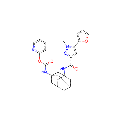 Cn1nc(C(=O)NC23CC4CC(CC(NC(=O)Oc5ccccn5)(C4)C2)C3)cc1-c1ccco1